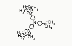 CC[C@@H](C)c1ccc(N(c2ccc(B3OC(C)(C)C(C)(C)O3)cc2)c2ccc(B3OC(C)(C)C(C)(C)O3)cc2)cc1